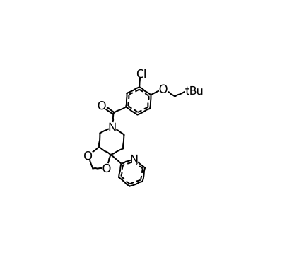 CC(C)(C)COc1ccc(C(=O)N2CCC3(c4ccccn4)OCOC3C2)cc1Cl